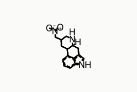 O=[N+]([O-])CC1CN[C@@H]2Cc3c[nH]c4cccc(c34)C2C1